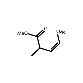 CN/C=C\C(C)C(=O)OC